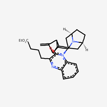 C=C1C2CC1C2=CN1[C@@H]2CC[C@H]1C[C@@H](n1c(=O)c(CCCC(=O)OCC)nc3ccccc31)C2